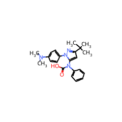 CN(C)c1ccc(-n2nc(C(C)(C)C)cc2N(C(=O)O)c2ccccc2)cc1